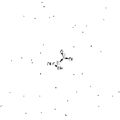 CC[PH](=O)CC.O=CO